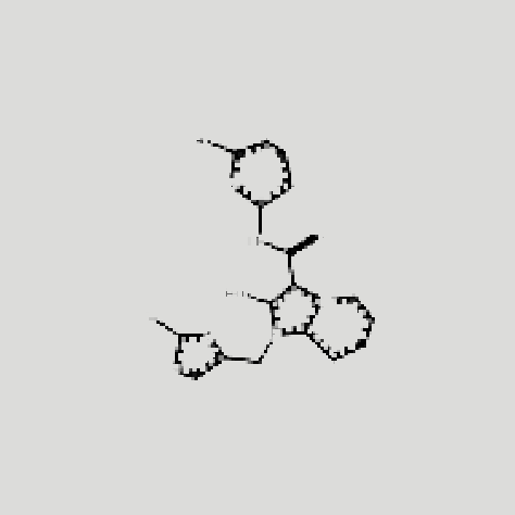 O=C(Nc1cccc(Br)n1)c1c(O)n(Cc2cnc(Cl)s2)c2cccc[n+]12